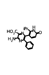 CC(C)c1[nH]c(=O)ccc1-c1nc(C(=O)O)c(N)nc1-c1ccccc1